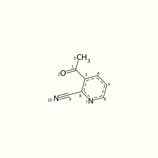 CC(=O)c1cccnc1C#N